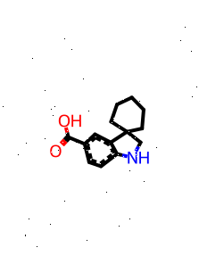 O=C(O)c1ccc2c(c1)C1(CCCCC1)CN2